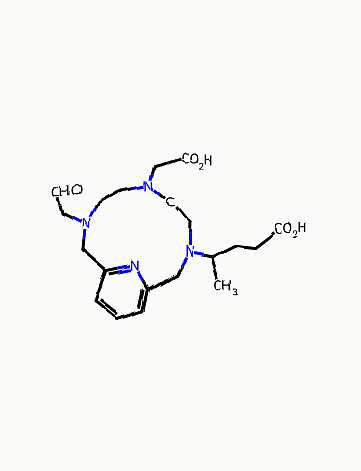 CC(CCC(=O)O)N1CCN(CC(=O)O)CCN(CC=O)Cc2cccc(n2)C1